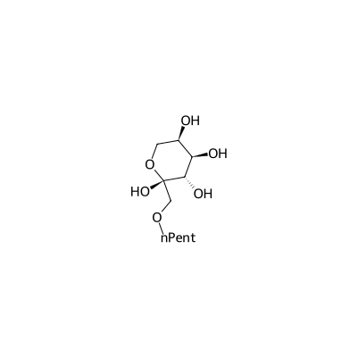 CCCCCOC[C@]1(O)OC[C@@H](O)[C@@H](O)[C@@H]1O